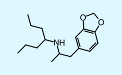 CCCC(CCC)NC(C)Cc1ccc2c(c1)OCO2